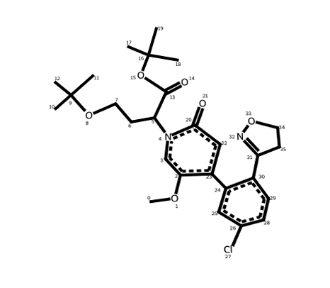 COc1cn(C(CCOC(C)(C)C)C(=O)OC(C)(C)C)c(=O)cc1-c1cc(Cl)ccc1C1=NOCC1